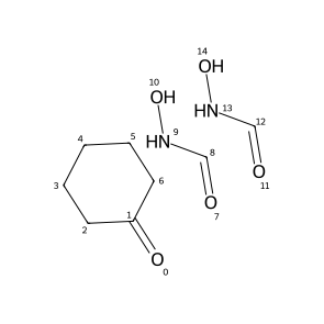 O=C1CCCCC1.O=CNO.O=CNO